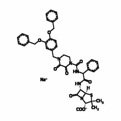 CC1(C)S[C@@H]2[C@@H](NC(=O)C(NC(=O)N3CCN(Cc4ccc(OCc5ccccc5)c(OCc5ccccc5)c4)C(=O)C3=O)c3ccccc3)C(=O)N2[C@H]1C(=O)[O-].[Na+]